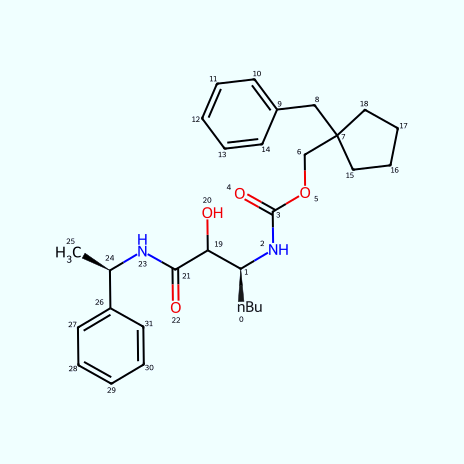 CCCC[C@H](NC(=O)OCC1(Cc2ccccc2)CCCC1)C(O)C(=O)N[C@H](C)c1ccccc1